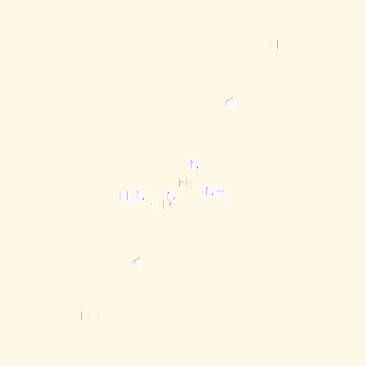 CCCCCCCC/C=C/CCCCCCCCN(CCCCN(CCCCCCCC/C=C/CCCCCCCC)CC(O)CN)CC(O)CN